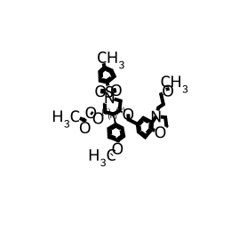 COCCCN1CCOc2ccc(CO[C@H]3CN(S(=O)(=O)c4ccc(C)cc4)C[C@@H](OOC(C)=O)[C@@H]3c3ccc(OC)cc3)cc21